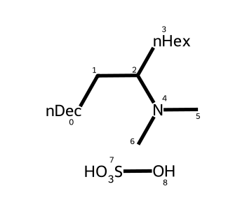 CCCCCCCCCCCC(CCCCCC)N(C)C.O=S(=O)(O)O